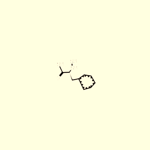 NN[C@@H](Cc1ccccc1)C(N)=O